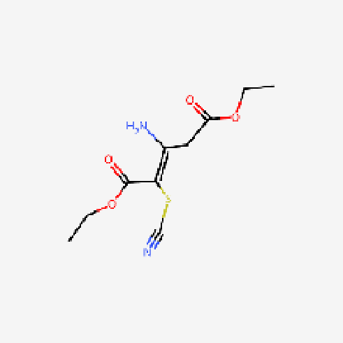 CCOC(=O)C/C(N)=C(\SC#N)C(=O)OCC